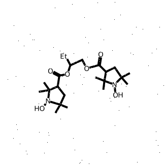 CCC(COC(=O)C1CC(C)(C)N(O)C1(C)C)OC(=O)C1CC(C)(C)N(O)C1(C)C